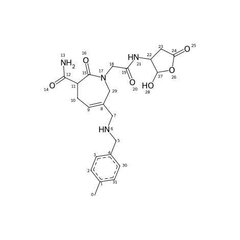 Cc1ccc(CNCC2=CCC(C(N)=O)C(=O)N(CC(=O)NC3CC(=O)OC3O)C2)cc1